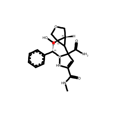 CNC(=O)C1=CC(C(N)=O)(C2[C@H]3COC[C@@H]23)N([C@@H](CO)c2ccccc2)N1